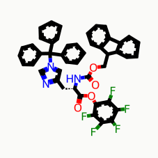 O=C(N[C@@H](Cc1cn(C(c2ccccc2)(c2ccccc2)c2ccccc2)cn1)C(=O)Oc1c(F)c(F)c(F)c(F)c1F)OCC1c2ccccc2-c2ccccc21